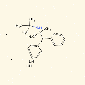 CC(C)(C)N[Si](C)(C)C(c1ccccc1)c1ccccc1.[LiH].[LiH]